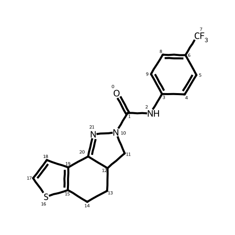 O=C(Nc1ccc(C(F)(F)F)cc1)N1CC2CCc3sccc3C2=N1